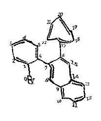 Brc1ccccc1-c1cc2ccccc2cc1-c1ccccc1